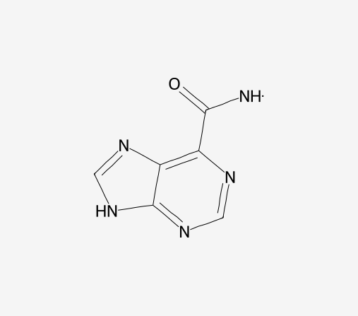 [NH]C(=O)c1ncnc2[nH]cnc12